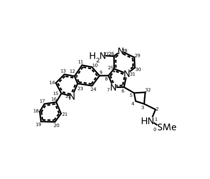 CSNCC1CC(c2nc(-c3ccc4ccc(-c5ccccc5)nc4c3)c3c(N)nccn23)C1